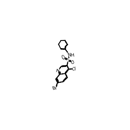 O=S(=O)(NC1CCCCC1)c1cnc2cc(Br)ccc2c1Cl